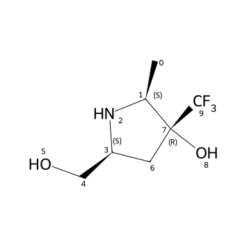 C[C@@H]1N[C@H](CO)C[C@]1(O)C(F)(F)F